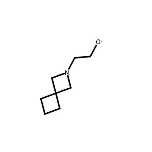 [O]CCN1CC2(CCC2)C1